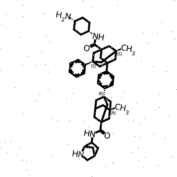 C[C@]12CC3CC(C(=O)NC4CC5CNC4C5)(C1)C[C@@](c1ccc(C45CC6(C(=O)N[C@H]7CC[C@@H](N)CC7)C[C@](C)(C4)C[C@@](c4ccccc4)(C6)C5)cc1)(C3)C2